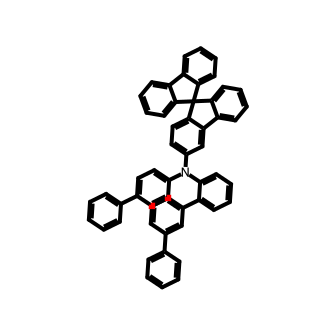 c1ccc(-c2ccc(N(c3ccc4c(c3)-c3ccccc3C43c4ccccc4-c4ccccc43)c3ccccc3-c3cccc(-c4ccccc4)c3)cc2)cc1